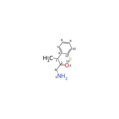 CC(C(=O)CN)c1ccccc1F